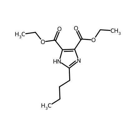 CCCCc1nc(C(=O)OCC)c(C(=O)OCC)[nH]1